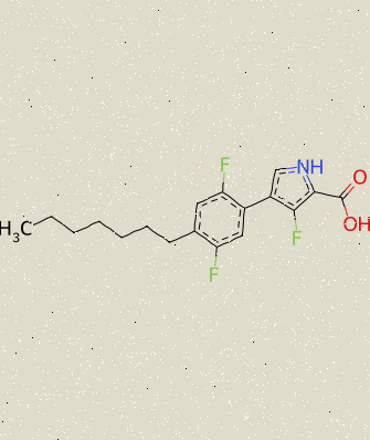 CCCCCCCc1cc(F)c(-c2c[nH]c(C(=O)O)c2F)cc1F